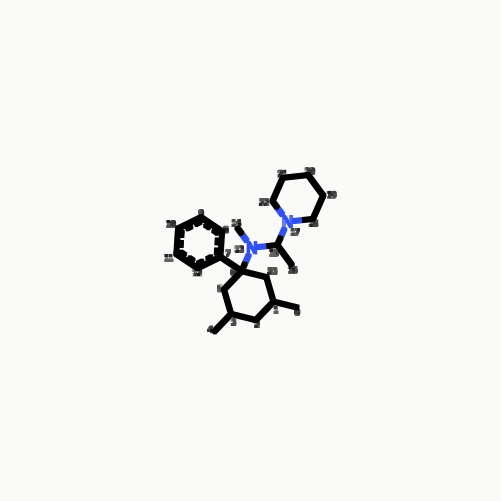 CC1CC(C)CC(c2ccccc2)(N(C)C(C)N2CCCCC2)C1